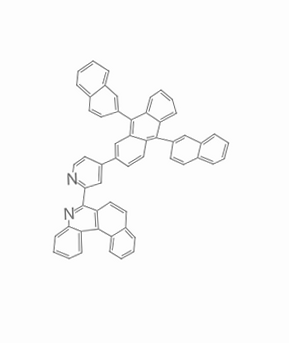 c1ccc2cc(-c3c4ccccc4c(-c4ccc5ccccc5c4)c4cc(-c5ccnc(-c6nc7ccccc7c7c6ccc6ccccc67)c5)ccc34)ccc2c1